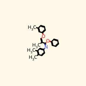 CC(=COc1cccc(C)c1)C(=Nc1ccc(C)c(C)c1)Oc1ccccc1